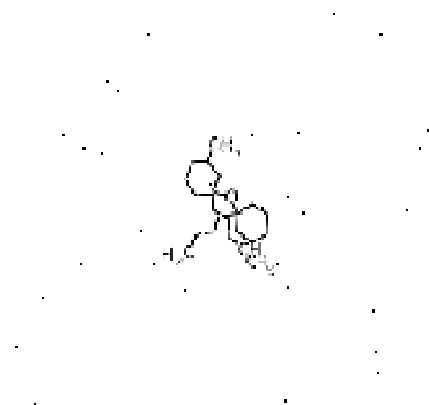 CCCCC1(OC2(CCCC)CCCC(C)C2)CCCC(C)C1